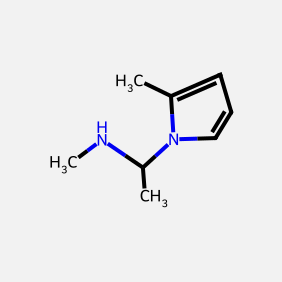 CNC(C)n1cccc1C